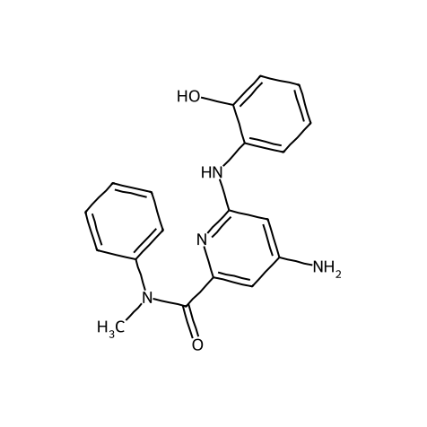 CN(C(=O)c1cc(N)cc(Nc2ccccc2O)n1)c1ccccc1